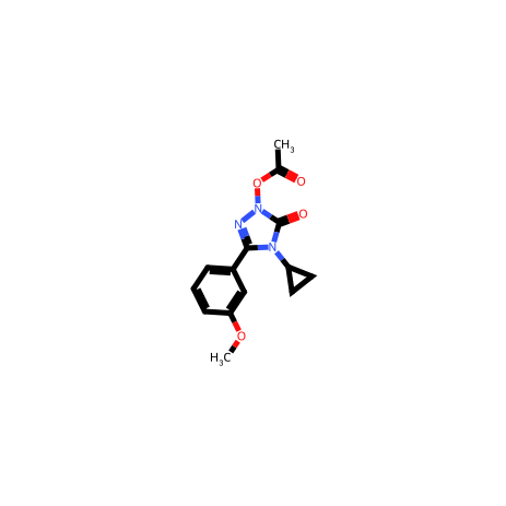 COc1cccc(-c2nn(OC(C)=O)c(=O)n2C2CC2)c1